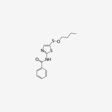 CCCCOSc1cnc(NC(=O)c2ccccc2)s1